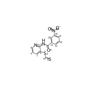 O=C(Nc1ncccc1SC=S)c1cccc([N+](=O)[O-])c1